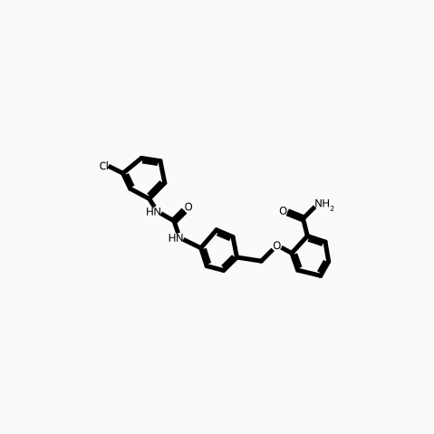 NC(=O)c1ccccc1OCc1ccc(NC(=O)Nc2cccc(Cl)c2)cc1